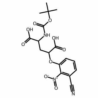 CC(C)(C)OC(=O)NC(CC(Oc1cccc(C#N)c1[N+](=O)[O-])C(=O)O)C(=O)O